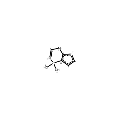 OS1(O)N=CNc2sc[c]c21